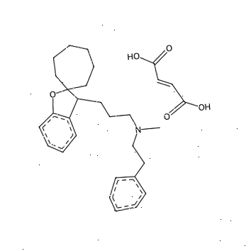 CN(CCCC1c2ccccc2OC12CCCCCC2)CCc1ccccc1.O=C(O)C=CC(=O)O